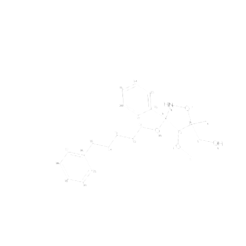 COC1C(C)(CO)ONC1(OCCCCCc1ccccc1)c1ccccc1